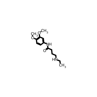 CCNCCCC(=O)Nc1ccc(OC)c(OC)c1